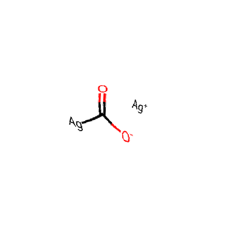 O=[C]([O-])[Ag].[Ag+]